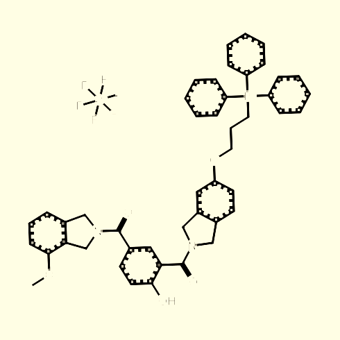 COc1cccc2c1CN(C(=O)c1ccc(O)c(C(=O)N3Cc4ccc(OCCC[P+](c5ccccc5)(c5ccccc5)c5ccccc5)cc4C3)c1)C2.F[P-](F)(F)(F)(F)F